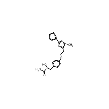 Cc1oc(-c2ccccc2)nc1CCOc1ccc(CN(O)C(N)=O)cc1